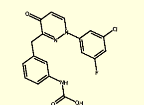 O=C(O)Nc1cccc(Cc2nn(-c3cc(F)cc(Cl)c3)ccc2=O)c1